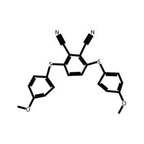 COc1ccc(Sc2ccc(Sc3ccc(OC)cc3)c(C#N)c2C#N)cc1